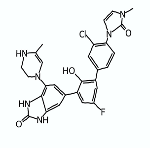 CC1=CN(c2cc(-c3cc(F)cc(-c4ccc(-n5ccn(C)c5=O)c(Cl)c4)c3O)cc3[nH]c(=O)[nH]c23)CCN1